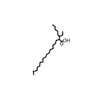 CCCCCCCCCCCCCCCCC(C(=O)O)C(CC)CCCCC